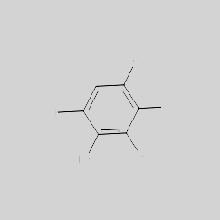 Oc1c(Cl)cc(Cl)c(Cl)c1Br